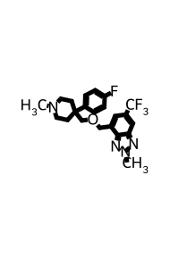 CN1CCC(COCc2cc(C(F)(F)F)cc3nn(C)nc23)(c2ccc(F)cc2)CC1